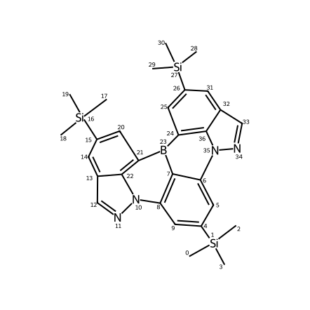 C[Si](C)(C)c1cc2c3c(c1)-n1ncc4cc([Si](C)(C)C)cc(c41)B3c1cc([Si](C)(C)C)cc3cnn-2c13